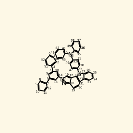 c1ccc(-c2cc(-c3ccccc3)cc(-n3cc4c(ccc5c6ccccc6n(-c6ccc(N(c7ccccc7)c7ccccc7)cc6)c45)n3)c2)cc1